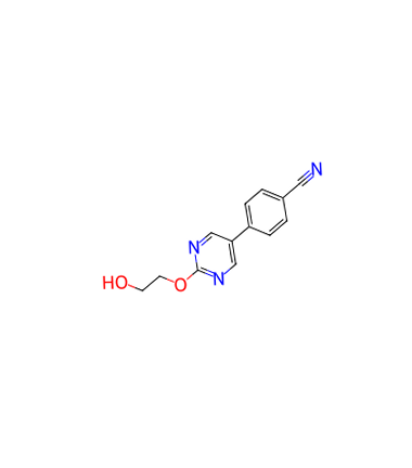 N#Cc1ccc(-c2cnc(OCCO)nc2)cc1